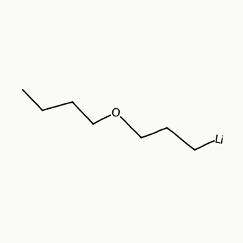 [Li][CH2]CCOCCCC